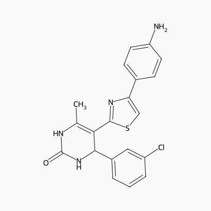 CC1=C(c2nc(-c3ccc(N)cc3)cs2)C(c2cccc(Cl)c2)NC(=O)N1